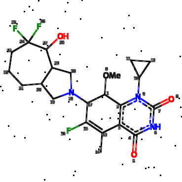 COC1c2c(c(=O)[nH]c(=O)n2C2CC2)C(C)=C(F)C1N1CC2CCCC(F)(F)C(O)C2C1